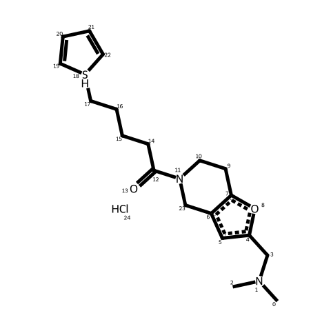 CN(C)Cc1cc2c(o1)CCN(C(=O)CCCC[SH]1C=CC=C1)C2.Cl